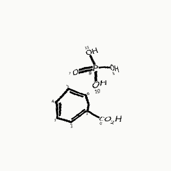 O=C(O)c1ccccc1.O=P(O)(O)O